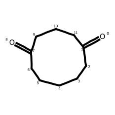 O=C1CCCCCC(=O)CCC1